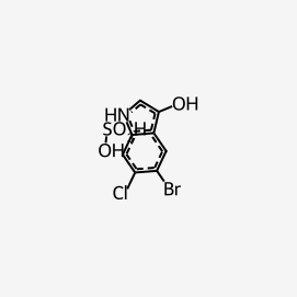 O=S(=O)(O)O.Oc1c[nH]c2cc(Cl)c(Br)cc12